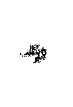 Cc1cc2c(s1)Nc1ccccc1N=C2N1CCN[C@H](CCO)C1.Cl.Cl